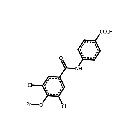 CC(C)Oc1c(Cl)cc(C(=O)Nc2ccc(C(=O)O)cc2)cc1Cl